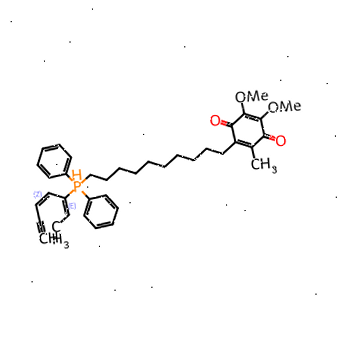 C#C/C=C\C(=C/C)[PH](CCCCCCCCCCC1=C(C)C(=O)C(OC)=C(OC)C1=O)(c1ccccc1)c1ccccc1